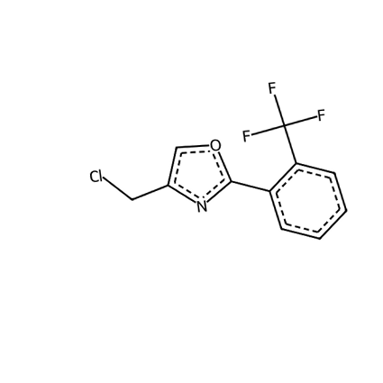 FC(F)(F)c1ccccc1-c1nc(CCl)co1